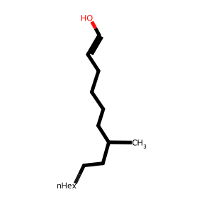 CCCCCCCCC(C)CCCCC=CO